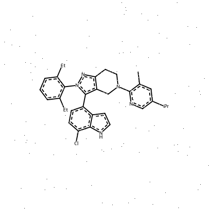 CCc1cccc(CC)c1-n1nc2c(c1-c1ccc(Cl)c3[nH]ccc13)CN(c1ncc(C(C)C)cc1C)CC2